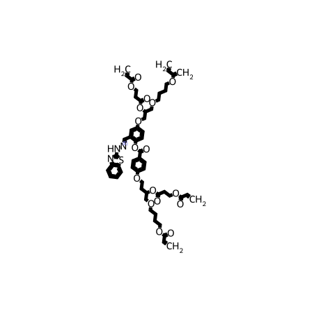 C=CC(=C)OCCCCOCC(COc1ccc(OC(=O)c2ccc(OCCC(COCCCCOC(=O)C=C)OC(=O)CCOC(=O)C=C)cc2)c(/C=N/Nc2nc3ccccc3s2)c1)OC(=O)CCOC(=O)C=C